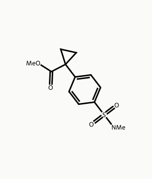 CNS(=O)(=O)c1ccc(C2(C(=O)OC)CC2)cc1